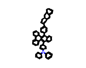 c1ccc(N(c2ccccc2)c2ccc(-c3c4ccccc4c(-c4ccc(-c5ccc6cc7ccccc7cc6c5)cc4)c4c5ccccc5c5ccccc5c34)cc2)cc1